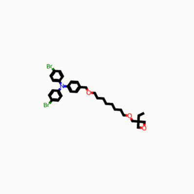 CCC1(COCCCCCCCCOCc2ccc(N(c3ccc(Br)cc3)c3ccc(Br)cc3)cc2)COC1